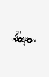 O=C1Cc2cc3c(cc2N1CCO)NC(c1ccc(O)cc1)N3